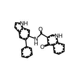 O=C(Nc1cc2[nH]ccc2cc1-c1ccccc1)c1c[nH]c2ccccc2c1=O